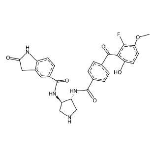 COc1ccc(O)c(C(=O)c2ccc(C(=O)N[C@@H]3CNC[C@H]3NC(=O)c3ccc4c(c3)CC(=O)N4)cc2)c1F